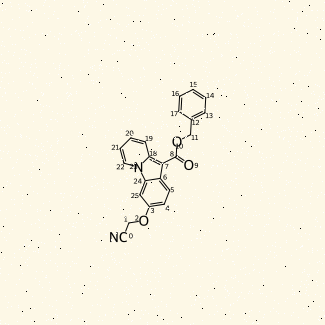 N#CCOc1ccc2c(C(=O)OCc3ccccc3)c3ccccn3c2c1